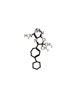 CC/N=C1/OC(C)(C)C(C2=CC=C(C3CCCCC3)CCC2)=N/C1=C(/C)N